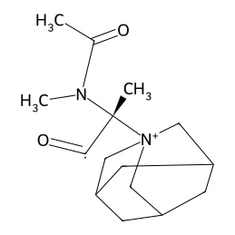 CC(=O)N(C)[C@@](C)([C]=O)[N+]12CC3CC(CC(C3)C1)C2